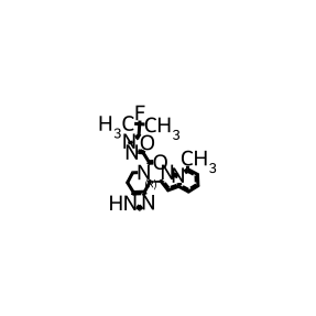 Cc1cccc2cc([C@H]3c4nc[nH]c4CCN3C(=O)c3nnc(C(C)(C)F)o3)nn12